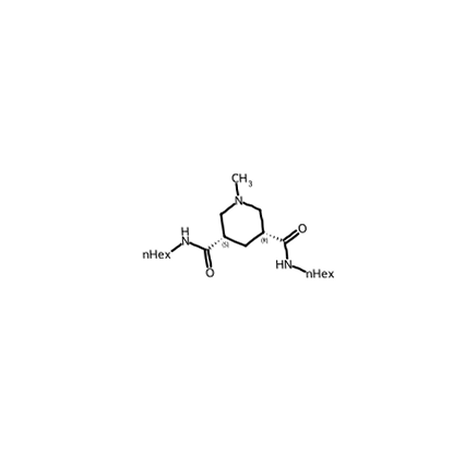 CCCCCCNC(=O)[C@@H]1C[C@H](C(=O)NCCCCCC)CN(C)C1